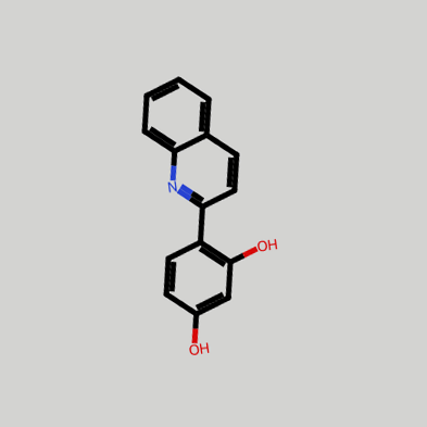 Oc1ccc(-c2ccc3ccccc3n2)c(O)c1